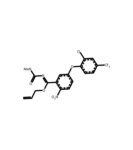 C=CCOC(=NC(=O)NC)c1cc(Oc2ccc(C(F)(F)F)cc2Cl)ccc1[N+](=O)[O-]